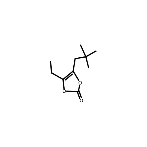 CCc1oc(=O)oc1CC(C)(C)C